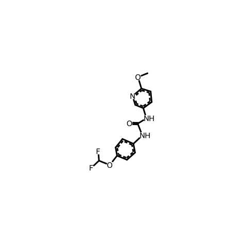 COc1ccc(NC(=O)Nc2ccc(OC(F)F)cc2)cn1